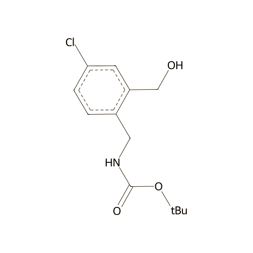 CC(C)(C)OC(=O)NCc1ccc(Cl)cc1CO